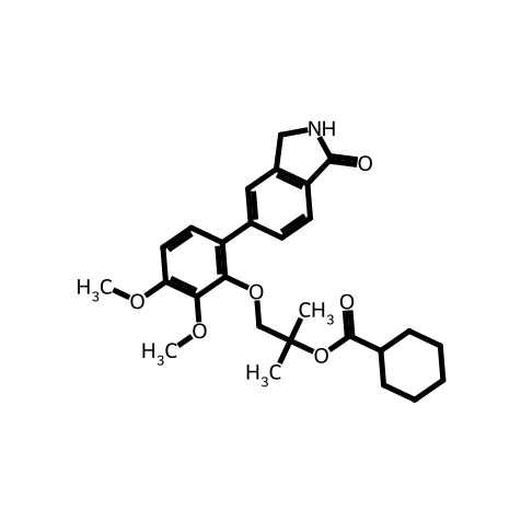 COc1ccc(-c2ccc3c(c2)CNC3=O)c(OCC(C)(C)OC(=O)C2CCCCC2)c1OC